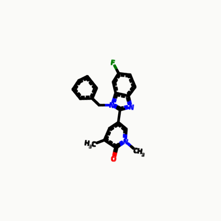 Cc1cc(-c2nc3ccc(F)cc3n2Cc2ccccc2)cn(C)c1=O